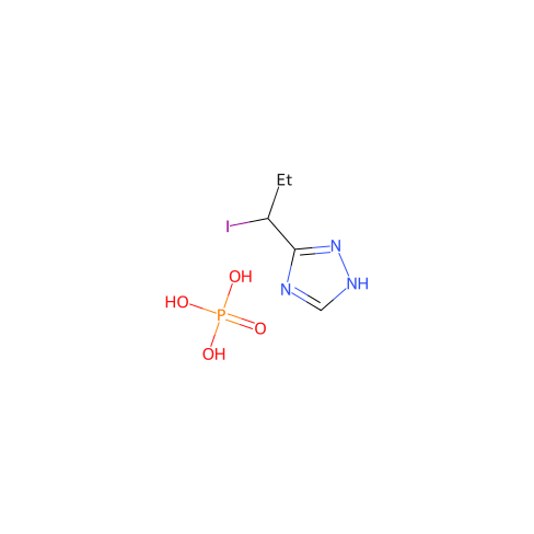 CCC(I)c1nc[nH]n1.O=P(O)(O)O